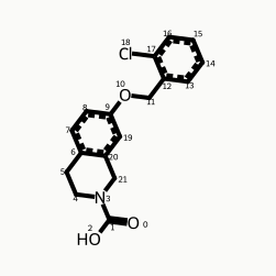 O=C(O)N1CCc2ccc(OCc3ccccc3Cl)cc2C1